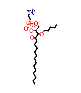 CCCCCCCCCCCCCC(=O)C(OCCCCC)[C@H](CO)OP(=O)([O-])OCC[N+](C)(C)C